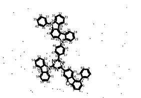 c1ccc(-c2cccc3oc4cc(-c5nc(-c6ccc(-n7c8ccccc8c8c9c%10ccccc%10n(-c%10ccccc%10)c9ccc87)cc6)nc(-n6c7ccccc7c7ccccc76)n5)ccc4c23)cc1